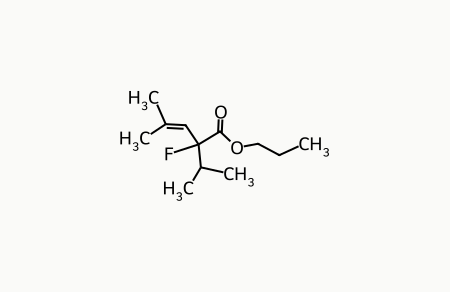 CCCOC(=O)C(F)(C=C(C)C)C(C)C